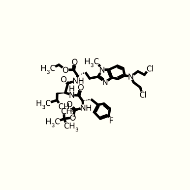 CCOC(=O)[C@H](CCc1nc2cc(N(CCCl)CCCl)ccc2n1C)NC(=O)[C@H](CC(C)C)NC(=O)[C@H](Cc1ccc(F)cc1)NC(=O)OC(C)(C)C